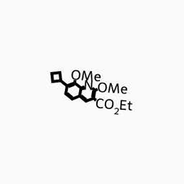 CCOC(=O)c1cc2ccc(C3CCC3)c(OC)c2nc1OC